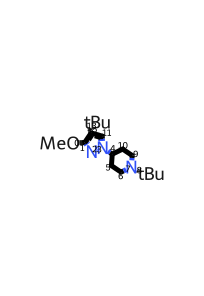 COc1nn(C2CCN(C(C)(C)C)CC2)cc1C(C)(C)C